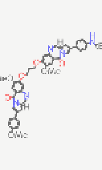 COc1ccc(C2=CN3C(=O)c4cc(OC)c(OCCCOc5cc6c(cc5OC)C(=O)N5C=C(c7ccc(NC(C)(C)C)cc7)C[C@H]5C=N6)cc4N=C[C@@H]3C2)cc1